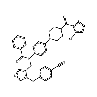 N#Cc1ccc(Cn2cncc2CN(C(=O)c2ccccc2)c2ccc(N3CCN(C(=O)c4sccc4Cl)CC3)cc2)cc1